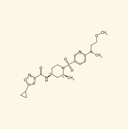 COCCN(C)c1ccc(S(=O)(=O)N2CC[C@H](NC(=O)c3cc(C4CC4)on3)C[C@@H]2C)cn1